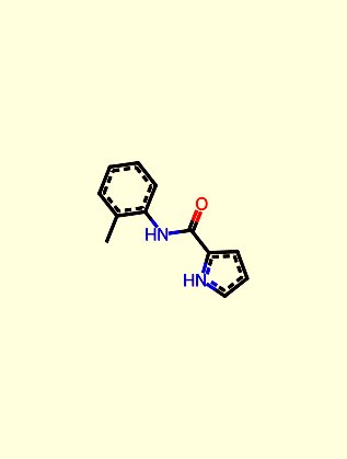 Cc1ccccc1NC(=O)c1ccc[nH]1